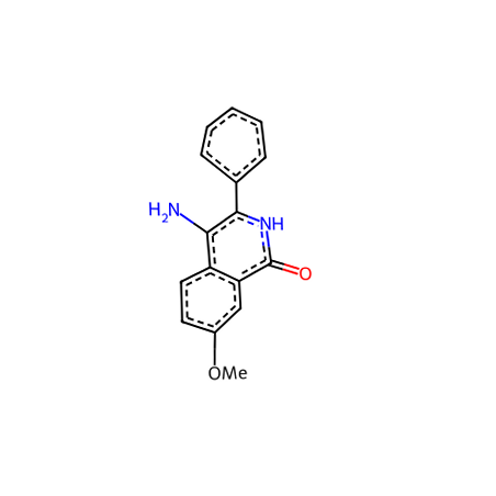 COc1ccc2c(N)c(-c3ccccc3)[nH]c(=O)c2c1